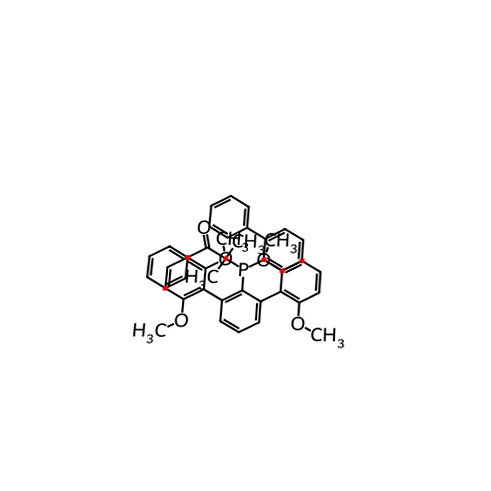 COc1cccc(OC)c1-c1cccc(-c2c(OC)cccc2OC)c1P(c1ccccc1-c1ccccc1)C(C)(C)C(=O)c1ccccc1